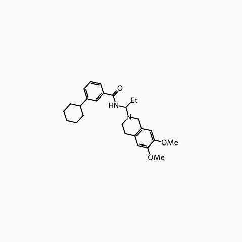 [CH2]CC(NC(=O)c1cccc(C2CCCCC2)c1)N1CCc2cc(OC)c(OC)cc2C1